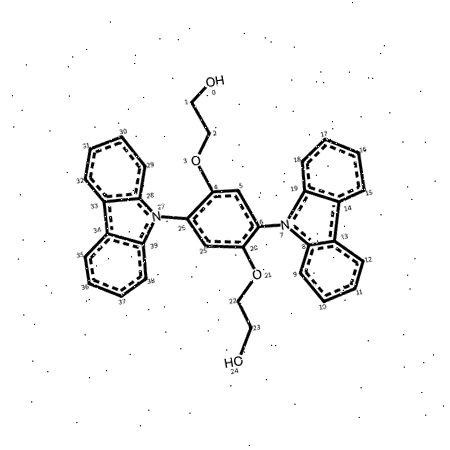 OCCOc1cc(-n2c3ccccc3c3ccccc32)c(OCCO)cc1-n1c2ccccc2c2ccccc21